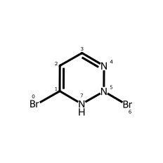 BrC1=CC=NN(Br)N1